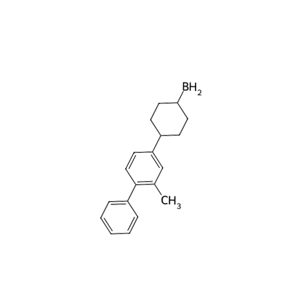 BC1CCC(c2ccc(-c3ccccc3)c(C)c2)CC1